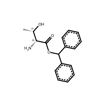 C[C@H](O)[C@@H](N)C(=O)OC(c1ccccc1)c1ccccc1